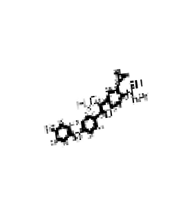 CCCN(S)c1cc2oc(-c3ccc(Oc4ccc(F)cc4)cc3)c(C)c2cc1C1CC1